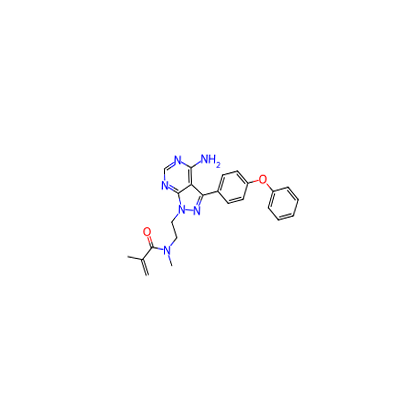 C=C(C)C(=O)N(C)CCn1nc(-c2ccc(Oc3ccccc3)cc2)c2c(N)ncnc21